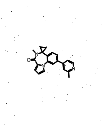 Cc1cc(-c2ccc3c(c2)-n2cccc2C(=O)N(C)C32CC2)ccn1